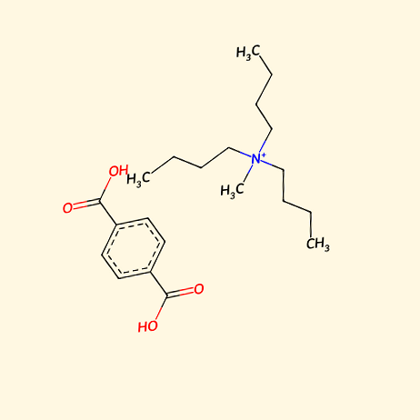 CCCC[N+](C)(CCCC)CCCC.O=C(O)c1ccc(C(=O)O)cc1